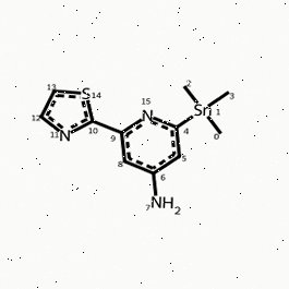 [CH3][Sn]([CH3])([CH3])[c]1cc(N)cc(-c2nccs2)n1